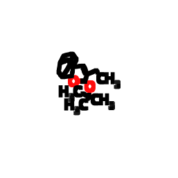 CCC(=CC12CC3CC(CC(C3)C1)C2)C(=O)OC(C)(C)C